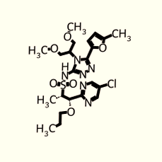 CCCO[C@@H](c1ncc(Cl)cn1)[C@H](C)S(=O)(=O)Nc1nnc(-c2ccc(C)o2)n1C(COC)COC